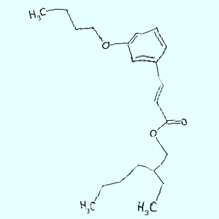 CCCCOc1cccc(C=CC(=O)OCC(CC)CCCC)c1